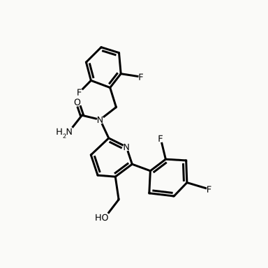 NC(=O)N(Cc1c(F)cccc1F)c1ccc(CO)c(-c2ccc(F)cc2F)n1